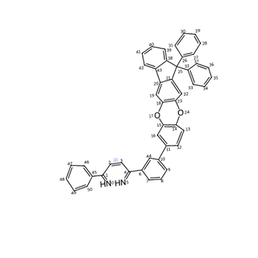 N=C(/C=C\C(=N)c1cccc(-c2ccc3c(c2)Oc2cc4c(cc2O3)C(c2ccccc2)(c2ccccc2)c2ccccc2-4)c1)c1ccccc1